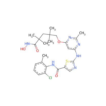 Cc1nc(Nc2ncc(C(=O)Nc3c(C)cccc3Cl)s2)cc(OCC(C)(C)CC(C)(C)C(=O)NO)n1